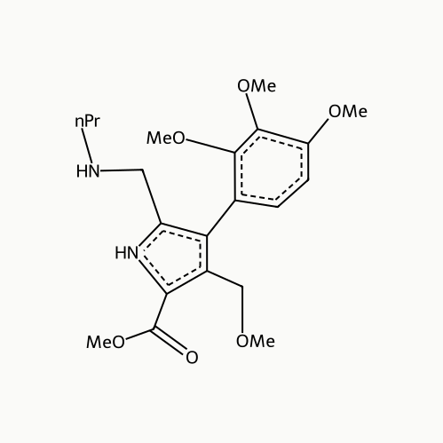 CCCNCc1[nH]c(C(=O)OC)c(COC)c1-c1ccc(OC)c(OC)c1OC